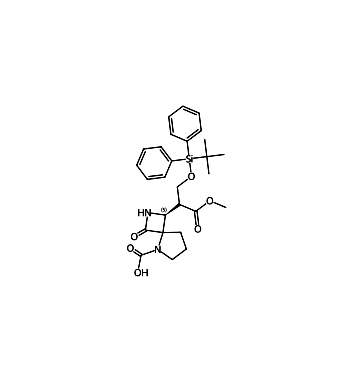 COC(=O)C(CO[Si](c1ccccc1)(c1ccccc1)C(C)(C)C)[C@@H]1NC(=O)C12CCCN2C(=O)O